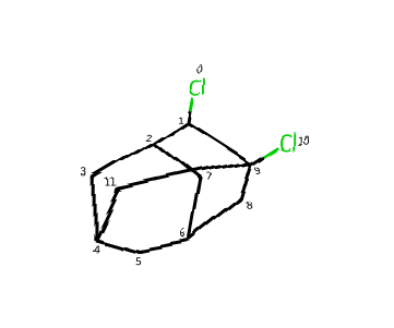 ClC1C2CC3CC(C2)CC1(Cl)C3